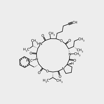 C#CCCCC1OC(=O)[C@H]([C@@H](C)CC)N(C)C(=O)[C@@H]2CCCN2C(=O)[C@H](C(C)C)OC(=O)[C@H](Cc2ccccc2)N(C)C(=O)[C@H](C(C)C)NC(=O)C1C